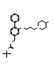 CC(C)(C)OC(=O)NCc1ccc(-c2ccccc2)c(OCCCN2CCC(O)CC2)c1